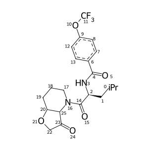 CC(C)C[C@H](NC(=O)c1ccc(OC(F)(F)F)cc1)C(=O)N1CCCC2OCC(=O)C21